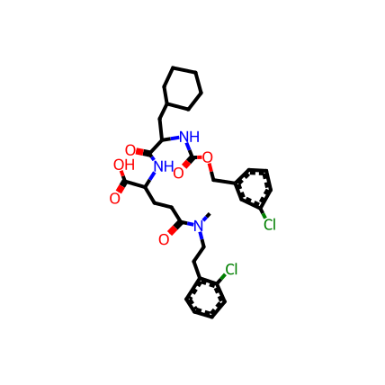 CN(CCc1ccccc1Cl)C(=O)CCC(NC(=O)C(CC1CCCCC1)NC(=O)OCc1cccc(Cl)c1)C(=O)O